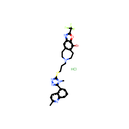 Cc1ccc2c(-c3nnc(SCCCN4CCc5cc6nc(C(F)(F)F)oc6c(Br)c5CC4)n3C)cccc2n1.Cl